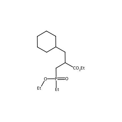 CCOC(=O)C(CC1CCCCC1)CP(=O)(CC)OCC